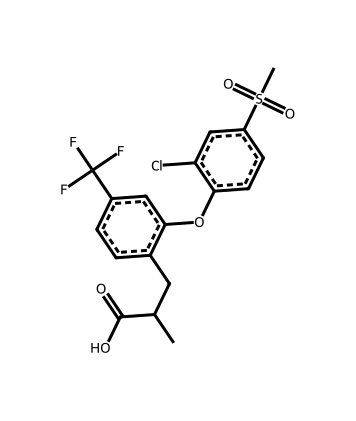 CC(Cc1ccc(C(F)(F)F)cc1Oc1ccc(S(C)(=O)=O)cc1Cl)C(=O)O